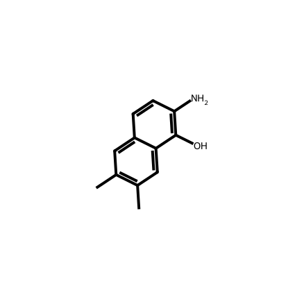 Cc1cc2ccc(N)c(O)c2cc1C